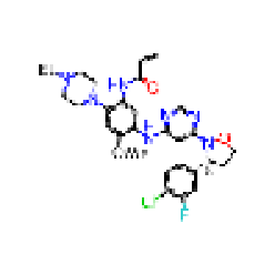 C=CC(=O)Nc1cc(Nc2cc(N3OCC[C@@H]3c3ccc(Cl)c(F)c3)ncn2)c(OC)cc1N1CCN(CC)CC1